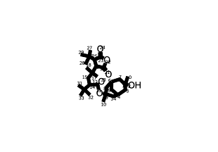 CC1(O)CC2CC(C1)CC(C)(OC(=O)C(CC(C)(C)C1C(=O)OC(=O)C1C(C)(C)C)C(C)(C)C)C2